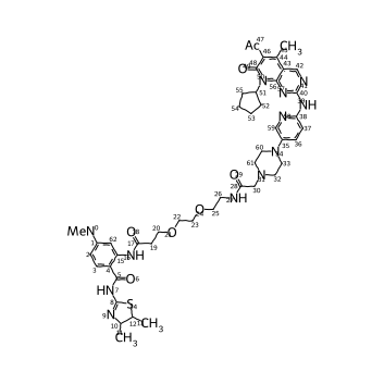 CNc1ccc(C(=O)NC2=NC(C)C(C)S2)c(NC(=O)CCOCCOCCNC(=O)CN2CCN(c3ccc(Nc4ncc5c(C)c(C(C)=O)c(=O)n(C6CCCC6)c5n4)nc3)CC2)c1